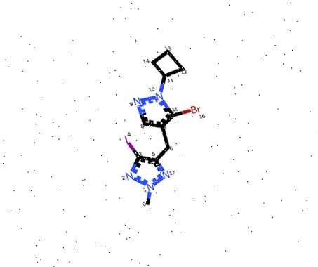 Cn1nc(I)c(Cc2cnn(C3CCC3)c2Br)n1